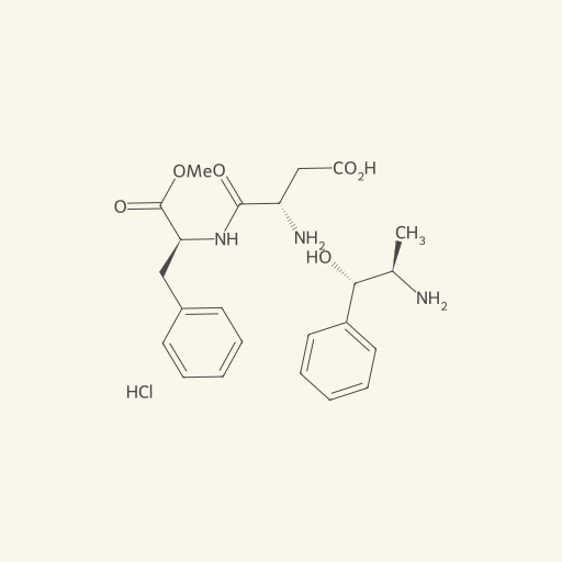 COC(=O)[C@H](Cc1ccccc1)NC(=O)[C@@H](N)CC(=O)O.C[C@@H](N)[C@@H](O)c1ccccc1.Cl